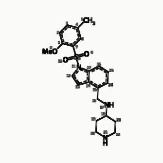 COc1ccc(C)cc1S(=O)(=O)n1ccc2c(CNC3CCNCC3)cccc21